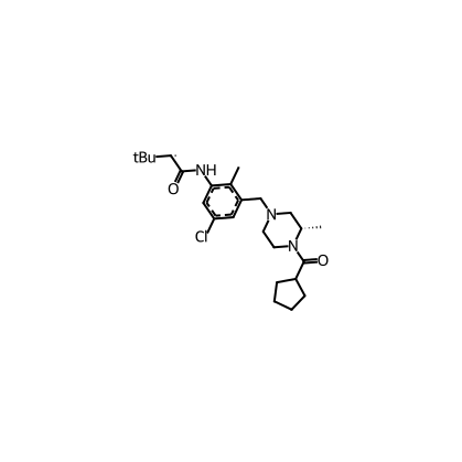 Cc1c(CN2CCN(C(=O)C3CCCC3)[C@@H](C)C2)cc(Cl)cc1NC(=O)[CH]C(C)(C)C